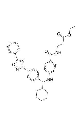 CCOC(=O)CCNC(=O)c1ccc(NC(c2ccc(-c3noc(-c4ccccc4)n3)cc2)C2CCCCC2)cc1